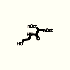 CCCCCCCCC(CCCCCCCC)C(=O)NCCO